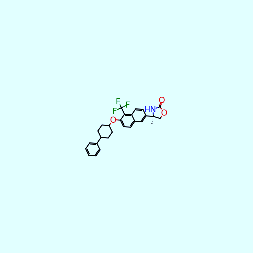 C[C@@]1(c2ccc3c(C(F)(F)F)c(OC4CCC(c5ccccc5)CC4)ccc3c2)COC(=O)N1